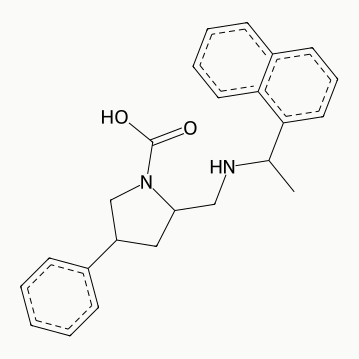 CC(NCC1CC(c2ccccc2)CN1C(=O)O)c1cccc2ccccc12